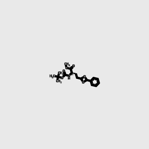 COC(=O)[C@H](CCC1OC(c2ccccc2)O1)NC(=O)OC(C)(C)C